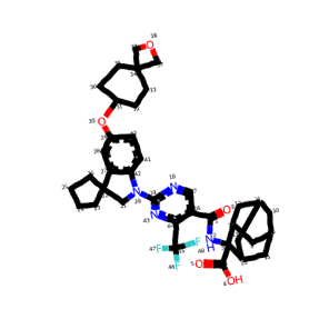 O=C(NC1(C(=O)O)C2CC3CC(C2)CC1C3)c1cnc(N2CC3(CCCC3)c3cc(OC4CCC5(CC4)COC5)ccc32)nc1C(F)(F)F